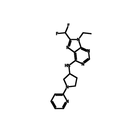 CCn1c(C(F)F)nc2c(NC3CCN(c4ccccn4)C3)ncnc21